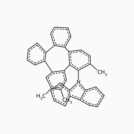 Cc1cc2c(cc1C)-c1c(ccc(C)c1-n1c3ccccc3c3ccccc31)-c1ccccc1-c1ccccc1-2